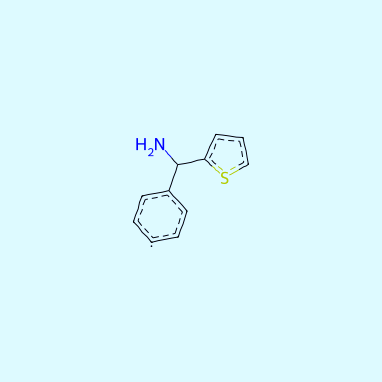 NC(c1cc[c]cc1)c1cccs1